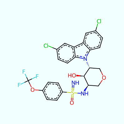 N=S(=O)(N[C@@H]1COC[C@@H](n2c3ccc(Cl)cc3c3cc(Cl)ccc32)[C@@H]1O)c1ccc(OC(F)(F)F)cc1